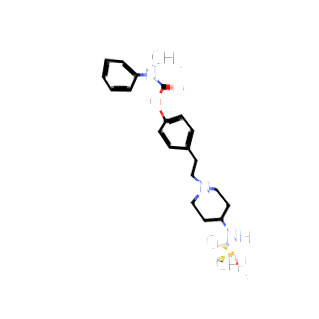 CN(C(=O)Oc1ccc(CCN2CCC(NS(C)(=O)=O)CC2)cc1)c1ccccc1